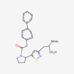 CC(=O)NC(Cc1cc(C2CCCN2C(=O)Cc2ccc(-c3ccccc3)cc2)sn1)C(=O)O